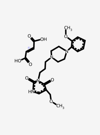 COCc1c[nH]c(=O)n(CCCN2CCN(c3ccccc3OC)CC2)c1=O.O=C(O)/C=C/C(=O)O